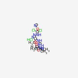 CN[C@@H](C)C(=O)N[C@H](C(=O)N1CCC[C@H]1C(=O)Nc1cc2c(Nc3cc(Cl)c(OCc4ccccn4)c(Cl)c3)ncnc2cc1OC)C(C)(C)C.Cl